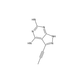 CC#Cc1n[nH]c2nc([NH])nc([NH])c12